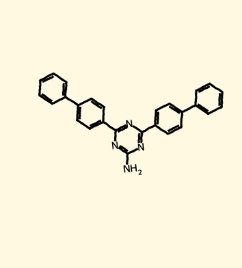 Nc1nc(-c2ccc(-c3ccccc3)cc2)nc(-c2ccc(-c3ccccc3)cc2)n1